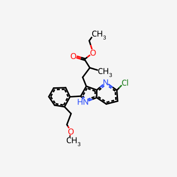 CCOC(=O)C(C)Cc1c(-c2ccccc2CCOC)[nH]c2ccc(Cl)nc12